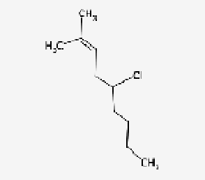 CCCCC(Cl)CC=C(C)C